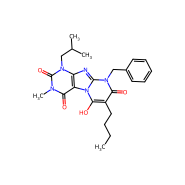 CCCCc1c(O)n2c3c(=O)n(C)c(=O)n(CC(C)C)c3nc2n(Cc2ccccc2)c1=O